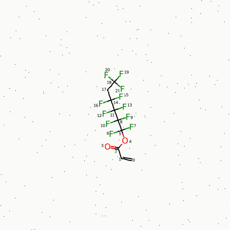 C=CC(=O)OC(F)(F)C(F)(F)C(F)(F)C(F)(F)CC(F)(F)F